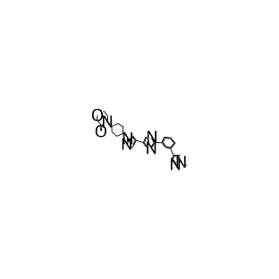 Cn1cc(-c2cccc(-c3ncc(-c4cnn([C@H]5CC[C@H](N6CCOCC6=O)CC5)c4)cn3)c2)cn1